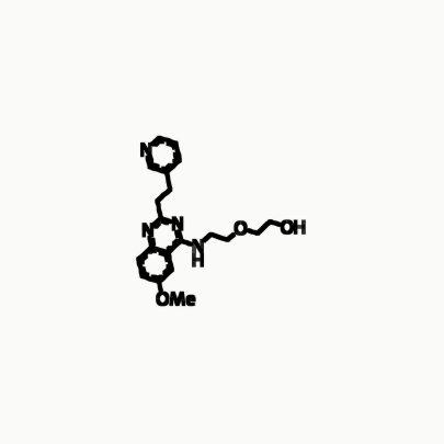 COc1ccc2nc(CCc3cccnc3)nc(NCCOCCO)c2c1